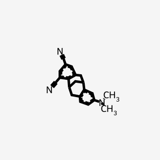 CN(C)c1ccc2c(c1)C1Cc3cc(C#N)cc(C#N)c3C(C2)C1